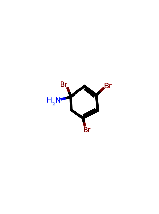 NC1(Br)C=C(Br)C=C(Br)C1